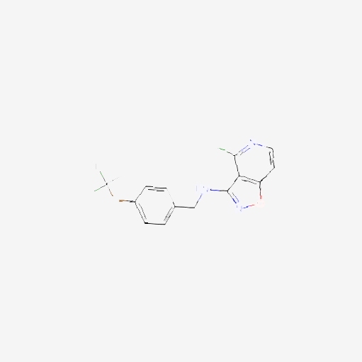 FC(F)(F)Sc1ccc(CNc2noc3ccnc(Cl)c23)cc1